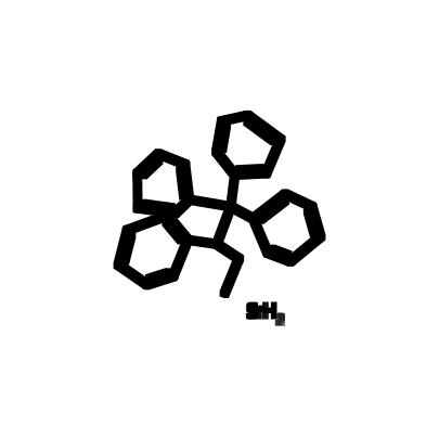 CCC(c1ccccc1)C(c1ccccc1)(c1ccccc1)c1ccccc1.[SrH2]